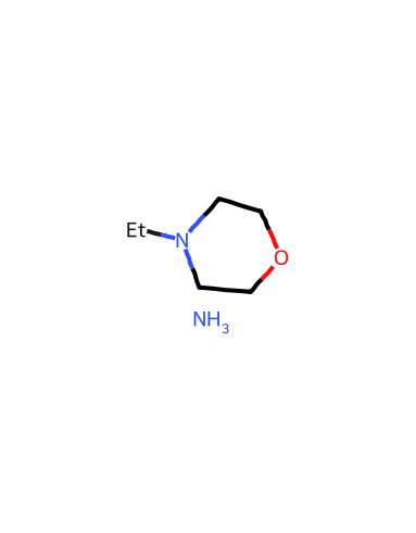 CCN1CCOCC1.N